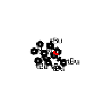 CC(C)(C)c1cccc(N2c3ccc(C(C)(C)C)cc3B3c4cc(C(C)(C)c5cc(C(C)(C)C)cc(C(C)(C)C)c5)ccc4N(c4ccc(C(C)(C)C)cc4-c4ccccc4)c4cc(N(c5ccccc5)c5ccccc5)cc2c43)c1